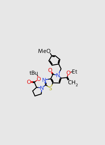 C=C(OCC)c1cc2sc(N3CCCC3C(=O)OC(C)(C)C)nc2c(=O)n1Cc1ccc(OC)cc1